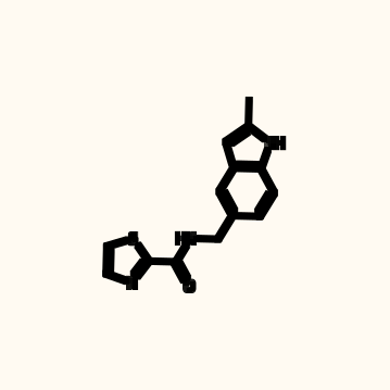 Cc1cc2cc(CNC(=O)c3nccs3)ccc2[nH]1